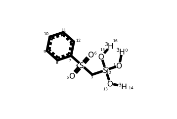 [3H]O[Si](CS(=O)(=O)c1ccccc1)(O[3H])O[3H]